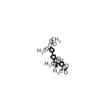 COC(=O)Oc1ccc(-c2ccc(C(C)C(O)(c3ccc4c(c3)N(C)C(=O)CO4)C(F)(F)F)c(Cl)c2)cc1OC